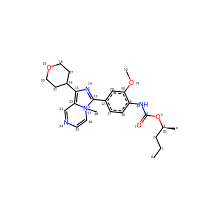 CCC[C@H](C)OC(=O)Nc1ccc(C2=NC(C3CCOCC3)=C3C=NC=C[N+]23C)cc1OC